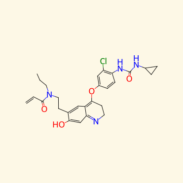 C=CC(=O)N(CCC)CCc1cc2c(cc1O)=NCCC=2Oc1ccc(NC(=O)NC2CC2)c(Cl)c1